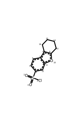 O=S(=O)(Cl)c1ccc2c3c(oc2c1)CCCC3